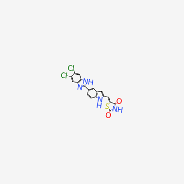 O=C1NC(=O)C(=Cc2cc3cc(-c4nc5cc(Cl)c(Cl)cc5[nH]4)ccc3[nH]2)S1